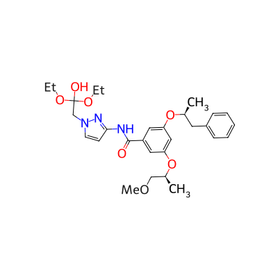 CCOC(O)(Cn1ccc(NC(=O)c2cc(O[C@@H](C)COC)cc(O[C@@H](C)Cc3ccccc3)c2)n1)OCC